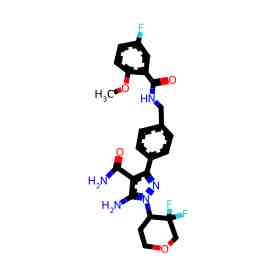 COc1ccc(F)cc1C(=O)NCc1ccc(-c2nn(C3CCOCC3(F)F)c(N)c2C(N)=O)cc1